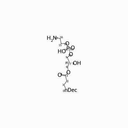 CCCCCCCCCCCCC(=O)OC[C@@H](O)COP(=O)(O)OCCN